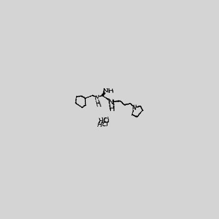 Cl.Cl.N=C(NCCCN1CCCC1)NCC1CCCCC1